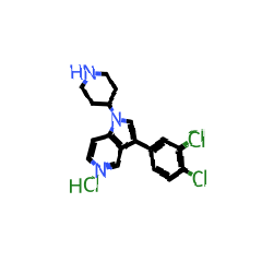 Cl.Clc1ccc(-c2cn(C3CCNCC3)c3ccncc23)cc1Cl